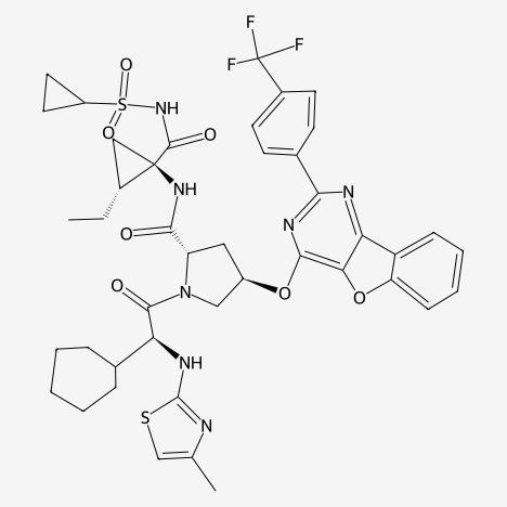 CC[C@@H]1C[C@]1(NC(=O)[C@@H]1C[C@@H](Oc2nc(-c3ccc(C(F)(F)F)cc3)nc3c2oc2ccccc23)CN1C(=O)[C@@H](Nc1nc(C)cs1)C1CCCCC1)C(=O)NS(=O)(=O)C1CC1